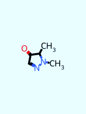 CC1C(=O)C=NN1C